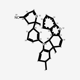 CC1C=CC2=C(C1)C1(C)C=Cc3oc4ccccc4c3C1N2C1=CC(C2(C)CC(C#N)=CC=N2)CC=C1